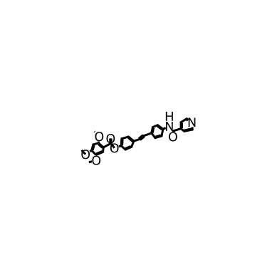 COc1cc(OC)c(C(=O)Oc2ccc(C#Cc3ccc(NC(=O)c4ccncc4)cc3)cc2)cc1OC